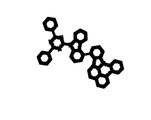 c1ccc(-c2nc(-c3ccccc3)nc(-n3c4ccccc4c4c(-c5cccc6c5c5ccc7cccc8c9ccccc9n6c5c78)cccc43)n2)cc1